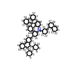 c1ccc(-c2c(-c3ccccc3)c3cc(-c4ccc(N(c5cccc(-c6cccc7ccccc67)c5)c5cccc6c5-c5ccccc5C6(c5ccccc5)c5ccccc5)cc4)ccc3c3ccccc23)cc1